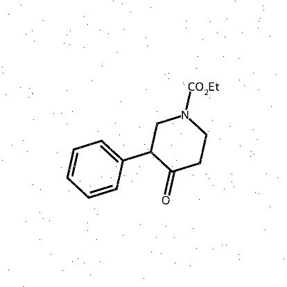 CCOC(=O)N1CCC(=O)C(c2ccccc2)C1